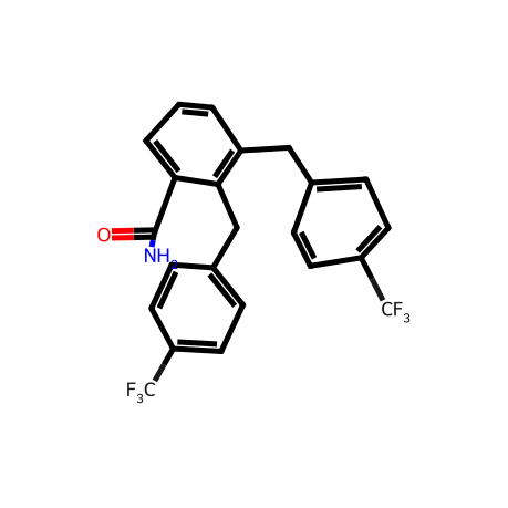 NC(=O)c1cccc(Cc2ccc(C(F)(F)F)cc2)c1Cc1ccc(C(F)(F)F)cc1